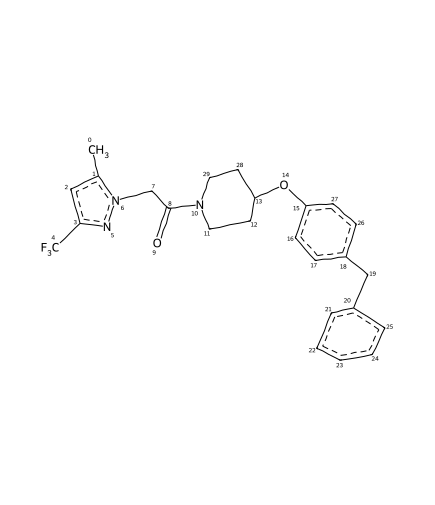 Cc1cc(C(F)(F)F)nn1CC(=O)N1CCC(Oc2ccc(Cc3ccccc3)cc2)CC1